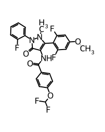 COc1cc(F)c(-c2c(NC(=O)c3ccc(OC(F)F)cc3)c(=O)n(-c3ccccc3F)n2C)c(F)c1